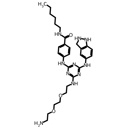 CCCCCCNC(=O)c1ccc(Nc2nc(NCCOCCOCCN)nc(Nc3ccc4c(c3)CNN4)n2)cc1